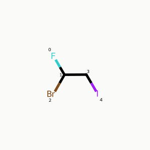 FC(Br)CI